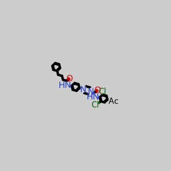 CC(=O)c1cc(Cl)c(NC(=O)N2CCN(c3ccc(NC(=O)CCCc4ccccc4)cc3)CC2)c(Cl)c1